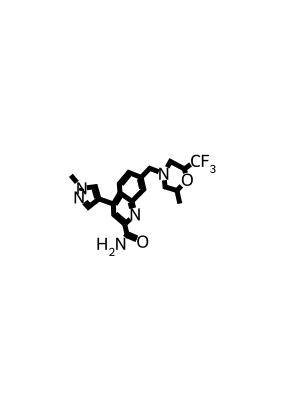 CC1CN(Cc2ccc3c(-c4cnn(C)c4)cc(C(N)=O)nc3c2)CC(C(F)(F)F)O1